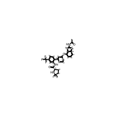 CC(=O)Nc1nc2c(Oc3cc(-c4ccc(C(F)(F)F)cc4NC(=O)[C@@H]4CCC(C)(C)N4)ncn3)cccc2s1